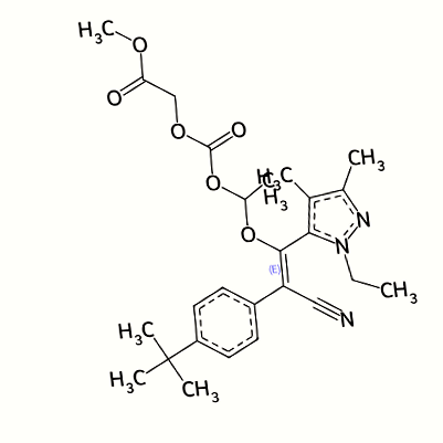 CCn1nc(C)c(C)c1/C(OC(C)OC(=O)OCC(=O)OC)=C(\C#N)c1ccc(C(C)(C)C)cc1